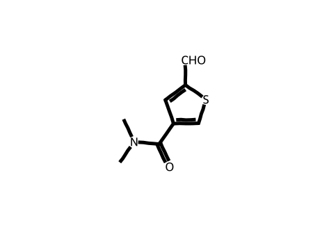 CN(C)C(=O)c1csc(C=O)c1